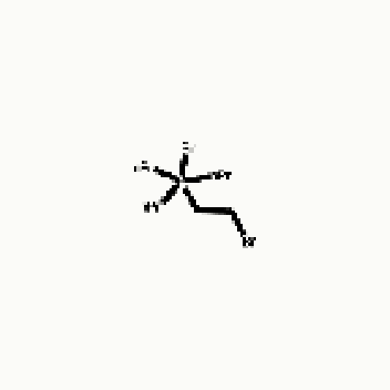 CCCP(Br)(CCC)(CCC)CCBr